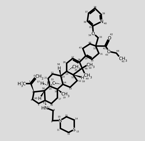 C=C(C)[C@@H]1CC[C@]2(NCCN3CCSCC3)CC[C@]3(C)[C@H](CC[C@@H]4[C@@]5(C)CC=C(C6=CCC(COc7ccccn7)(C(=O)OCC)CC6)C(C)(C)[C@@H]5CC[C@]43C)[C@@H]12